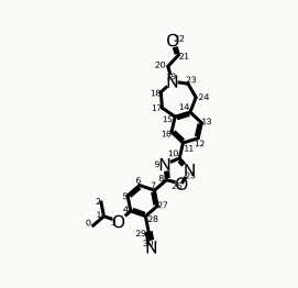 CC(C)Oc1ccc(-c2nc(-c3ccc4c(c3)CCN(CC=O)CC4)no2)cc1C#N